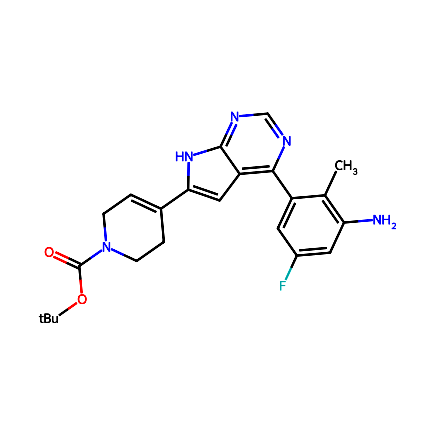 Cc1c(N)cc(F)cc1-c1ncnc2[nH]c(C3=CCN(C(=O)OC(C)(C)C)CC3)cc12